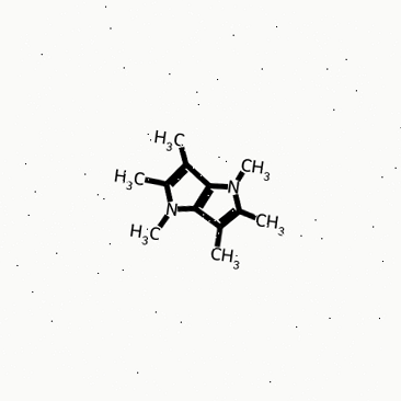 Cc1c(C)n(C)c2c(C)c(C)n(C)c12